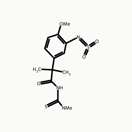 CNC(=S)NC(=O)C(C)(C)c1ccc(OC)c(N=S(=O)=O)c1